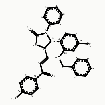 O=C(/C=C/[C@H]1SC(=O)N(c2ccccc2)[C@@H]1c1ccc(Br)cc1OCc1ccccc1)c1ccc(F)cc1